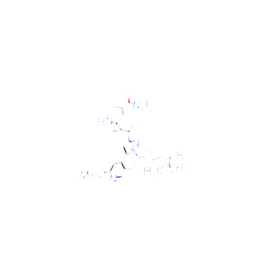 COc1cc(-c2cc(C(=O)C3CC34CC(C(N)=O)CCN4)nn2COCC[Si](C)(C)C)c(F)cn1